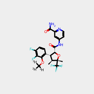 [2H]C([2H])([2H])Oc1c([C@@H]2[C@H](C(=O)Nc3ccnc(C(N)=O)c3)O[C@](C)(C(F)(F)F)[C@H]2C)ccc(F)c1F